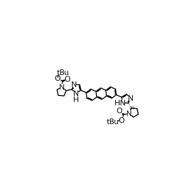 CC(C)(C)OC(=O)N1CCCC1c1ncc(-c2ccc3cc4cc(-c5cnc([C@@H]6CCCN6C(=O)OC(C)(C)C)[nH]5)ccc4cc3c2)[nH]1